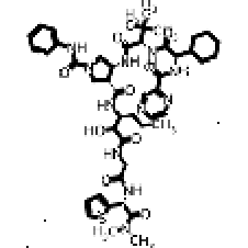 CCC[C@H](NC(=O)[C@@H]1CN(C(=O)Nc2ccccc2)C[C@@H]1NC(=O)[C@@H](NC(=O)[C@@H](NC(=O)c1cnccn1)C1CCCCC1)C(C)(C)C)C(O)C(=O)NCC(=O)N[C@H](C(=O)N(C)C)c1cccs1